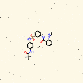 CCNc1ccccc1C(=O)Nc1cccc(S(=O)(=O)Nc2ccc(NC(=O)C(C)(C)C)cc2)c1